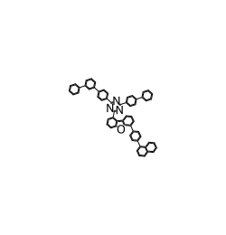 c1ccc(-c2ccc(-c3nc(-c4ccc(-c5cccc(-c6ccccc6)c5)cc4)nc(-c4cccc5oc6c(-c7ccc(-c8cccc9ccccc89)cc7)cccc6c45)n3)cc2)cc1